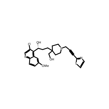 COc1ccc2ncc(Cl)c([C@H](O)CCC3(CO)CCN(CC#Cc4nccs4)CC3)c2c1